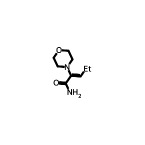 CC/C=C(/C(N)=O)N1CCOCC1